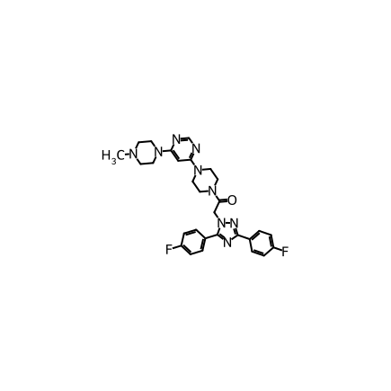 CN1CCN(c2cc(N3CCN(C(=O)Cn4nc(-c5ccc(F)cc5)nc4-c4ccc(F)cc4)CC3)ncn2)CC1